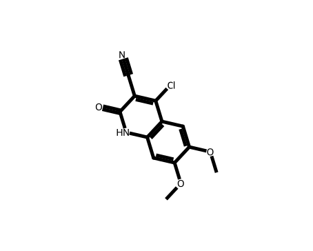 COc1cc2[nH]c(=O)c(C#N)c(Cl)c2cc1OC